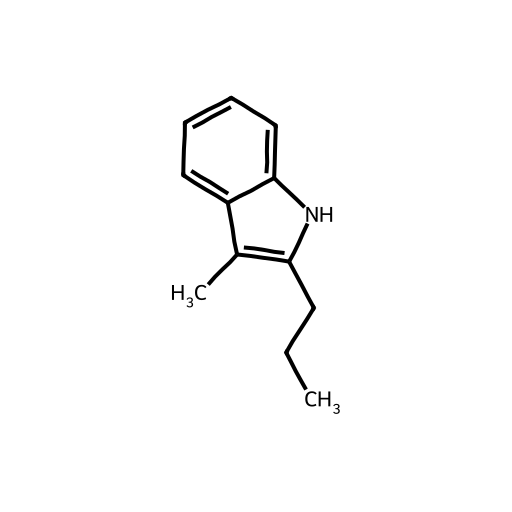 CCCc1[nH]c2ccccc2c1C